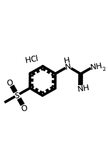 CS(=O)(=O)c1ccc(NC(=N)N)cc1.Cl